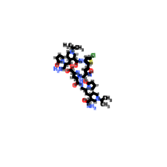 CC(C)N1CCC(CC(CNC(=O)c2cc(C(=O)OC(C3CCN(C(C)C)CC3C(N)=O)C(CN)N3CCCC3=O)nn2Cc2cc(-c3ccc(Cl)s3)on2)N2CCCC2=O)C(C(N)=O)C1